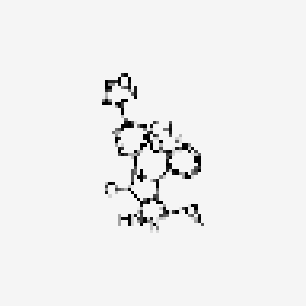 COc1ccccc1C1c2c(C3CC3)n[nH]c2C(=O)N1c1ccc(-c2ccon2)cc1